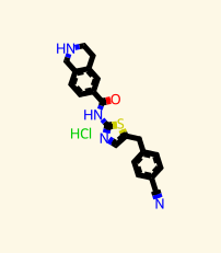 Cl.N#Cc1ccc(Cc2cnc(NC(=O)c3ccc4c(c3)CCNC4)s2)cc1